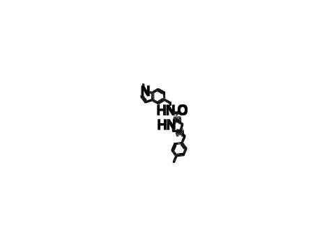 Cc1ccc(C[C@H]2CN[C@H](C(=O)NCc3ccc4c(ccn4C)c3)C2)cc1